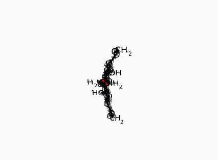 C=CC(=O)OCCCCCCOc1ccc(C(=O)Oc2ccc(N=Nc3ccc(-c4ccc(N=Nc5ccc(OC(=O)c6ccc(OCCCCCCOC(=O)C=C)cc6)c(CO)c5)cc4S(N)(=O)=O)c(S(N)(=O)=O)c3)cc2CO)cc1